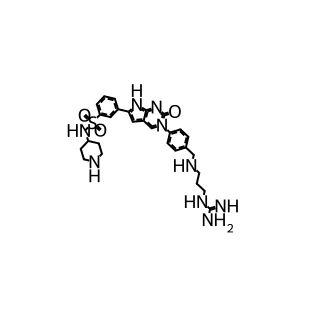 N=C(N)NCCCNCc1ccc(-n2cc3cc(-c4cccc(S(=O)(=O)NC5CCNCC5)c4)[nH]c3nc2=O)cc1